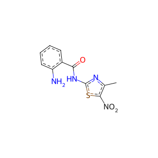 Cc1nc(NC(=O)c2ccccc2N)sc1[N+](=O)[O-]